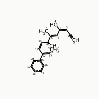 C#C/C=C(O)\C=C(/C)C(=C)/C=C\C(=C/C)c1ccccc1